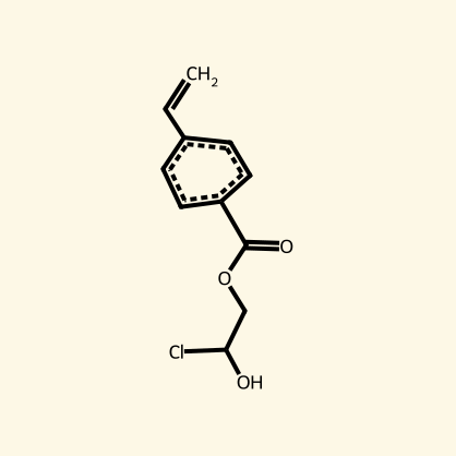 C=Cc1ccc(C(=O)OCC(O)Cl)cc1